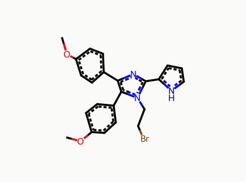 COc1ccc(-c2nc(-c3ccc[nH]3)n(CCBr)c2-c2ccc(OC)cc2)cc1